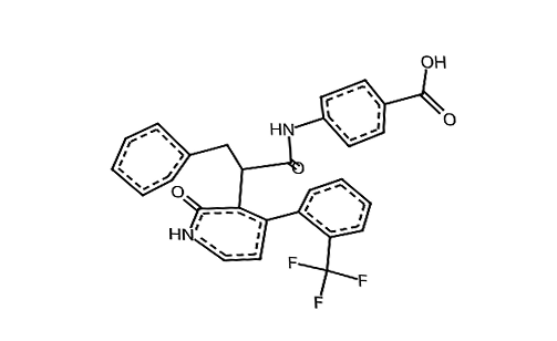 O=C(O)c1ccc(NC(=O)C(Cc2ccccc2)c2c(-c3ccccc3C(F)(F)F)cc[nH]c2=O)cc1